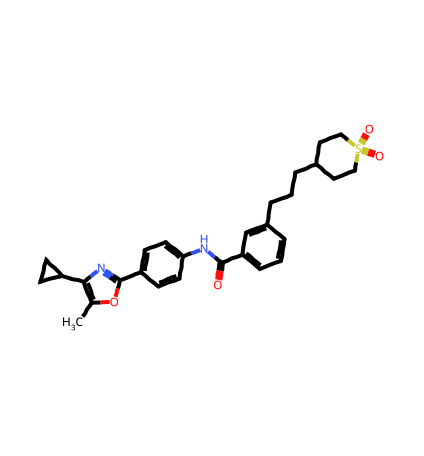 Cc1oc(-c2ccc(NC(=O)c3cccc(CCCC4CCS(=O)(=O)CC4)c3)cc2)nc1C1CC1